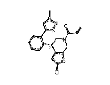 C=CC(=O)N1Cc2sc(Cl)cc2[C@H](c2ccccc2-c2cn(C)nn2)C1